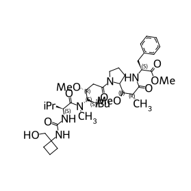 CC[C@H](C)[C@@H]([C@@H](CC(=O)N1CCCC1[C@H](OC)[C@@H](C)C(=O)N[C@@H](Cc1ccccc1)C(=O)OC)OC)N(C)C(=O)[C@@H](NC(=O)NC1(CO)CCC1)C(C)C